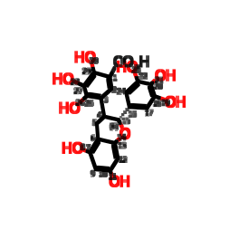 O=C(O)c1cc(C2Cc3c(O)cc(O)cc3O[C@H]2c2cc(O)c(O)c(O)c2)c(O)c(O)c1O